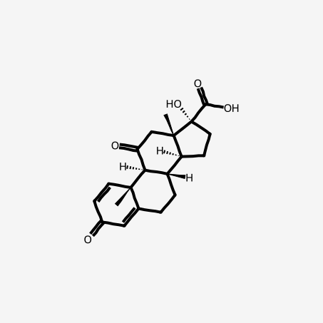 C[C@]12C=CC(=O)C=C1CC[C@@H]1[C@@H]2C(=O)C[C@@]2(C)[C@H]1CC[C@]2(O)C(=O)O